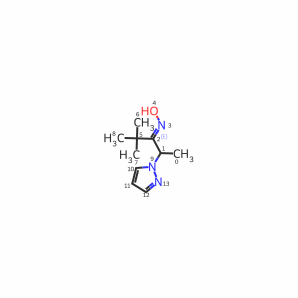 CC(/C(=N/O)C(C)(C)C)n1cccn1